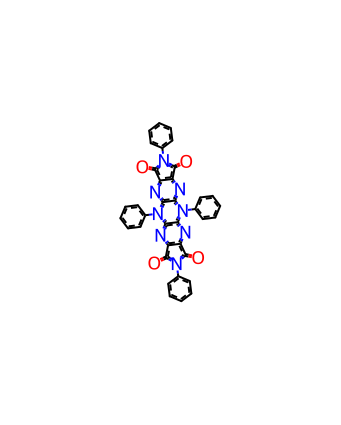 O=c1c2nc3c(nc2c(=O)n1-c1ccccc1)n(-c1ccccc1)c1nc2c(=O)n(-c4ccccc4)c(=O)c2nc1n3-c1ccccc1